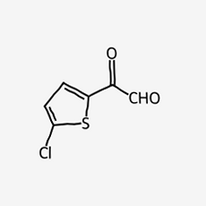 O=CC(=O)c1ccc(Cl)s1